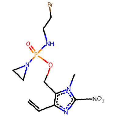 C=Cc1nc([N+](=O)[O-])n(C)c1COP(=O)(NCCBr)N1CC1